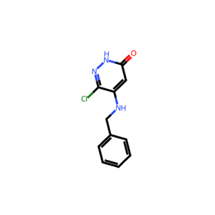 O=c1cc(NCc2ccccc2)c(Cl)n[nH]1